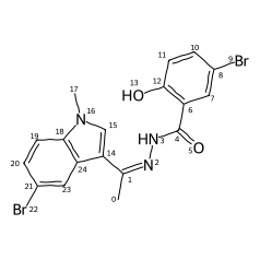 C/C(=N/NC(=O)c1cc(Br)ccc1O)c1cn(C)c2ccc(Br)cc12